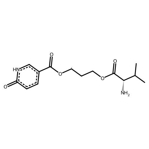 CC(C)[C@H](N)C(=O)OCC[CH]OC(=O)c1ccc(=O)[nH]c1